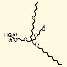 CCCCCCCCCCOC[C@@](CCCCCCOCCCCC)(COCCOC)COCCOS(=O)(=O)O